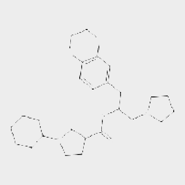 O=C(NC(Cc1ccc2c(c1)OCCO2)CN1CCCC1)C1CCN(C2CCCCC2)C1